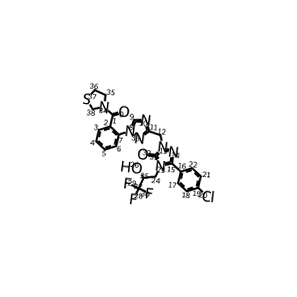 O=C(c1ccccc1-n1cnc(Cn2nc(-c3ccc(Cl)cc3)n(C[C@H](O)C(F)(F)F)c2=O)n1)N1CCSC1